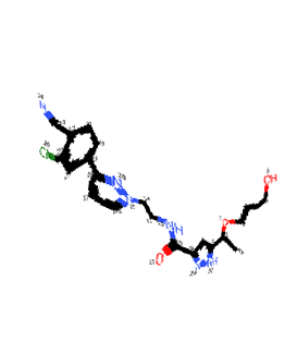 CC(OCCCO)c1cc(C(=O)NCCn2ccc(-c3ccc(C#N)c(Cl)c3)n2)n[nH]1